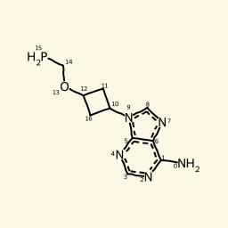 Nc1ncnc2c1ncn2C1CC(OCP)C1